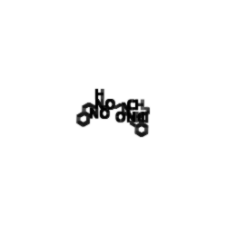 CN(CCOC(=O)Nc1ccc2ccccc2n1)C(=O)NCc1ccccc1Cl